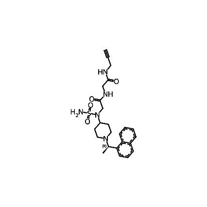 C#CCNC(=O)CNC(=O)CN(C1CCN([C@H](C)c2cccc3ccccc23)CC1)S(N)(=O)=O